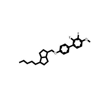 CCCCCC1CCC2C(COc3ccc(-c4ccc(OC)c(F)c4F)cc3)CCC12